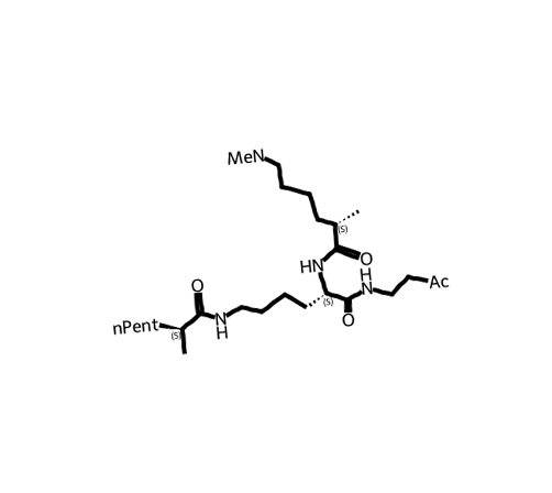 CCCCC[C@H](C)C(=O)NCCCC[C@H](NC(=O)[C@@H](C)CCCCNC)C(=O)NCCC(C)=O